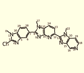 Cn1c(Cl)nc2cc(-c3nc4nc(-c5nc6cnccc6n5C)ccc4n3C)ccc21